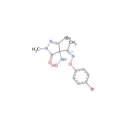 C/C(=N/Oc1ccc(Br)cc1)C1(NO)C(=O)N(C)N=C1C(C)(C)C